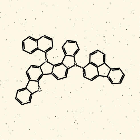 c1ccc2c(c1)-c1cccc3c(-n4c5ccccc5c5c4ccc4c6c7oc8ccccc8c7ccc6n(-c6cccc7ccccc67)c45)ccc-2c13